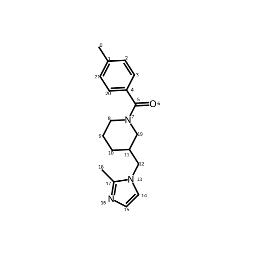 Cc1ccc(C(=O)N2CCCC(Cn3ccnc3C)C2)cc1